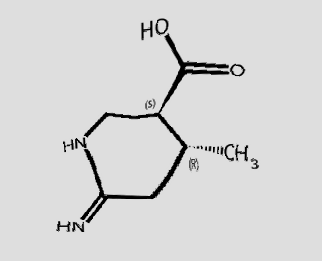 C[C@@H]1CC(=N)NC[C@H]1C(=O)O